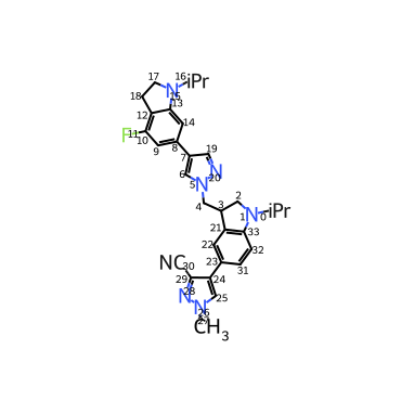 CC(C)N1CC(Cn2cc(-c3cc(F)c4c(c3)N(C(C)C)CC4)cn2)c2cc(-c3cn(C)nc3C#N)ccc21